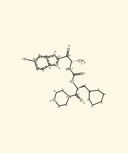 C[C@H](NC(=O)O[C@@H](CC1CCCCC1)C(=O)N1CCOCC1)C(=O)c1nc2cc(F)ccc2o1